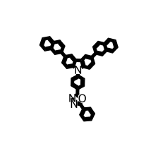 c1ccc(-c2nnc(-c3ccc(-n4c5ccc(-c6ccc7ccccc7c6)cc5c5cc(-c6ccc7ccccc7c6)ccc54)cc3)o2)cc1